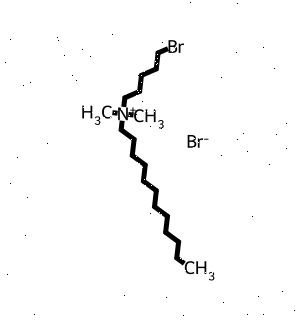 CCCCCCCCCCCC[N+](C)(C)CCCCCBr.[Br-]